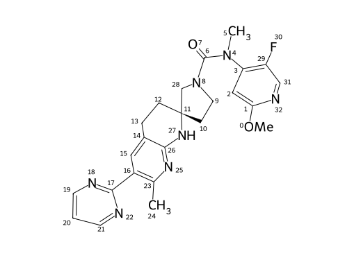 COc1cc(N(C)C(=O)N2CC[C@@]3(CCc4cc(-c5ncccn5)c(C)nc4N3)C2)c(F)cn1